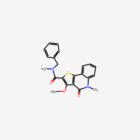 CCCCOc1c(C(=O)N(C)Cc2ccccc2)sc2c1c(=O)n(C)c1ccccc21